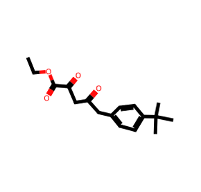 CCOC(=O)C(=O)CC(=O)Cc1ccc(C(C)(C)C)cc1